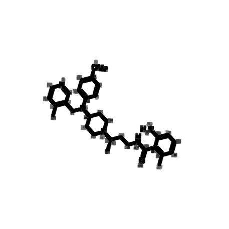 COc1ccc(N(Cc2cnccc2C)C2CCN([C@H](C)CCNC(=O)c3c(C)cccc3N)CC2)cc1